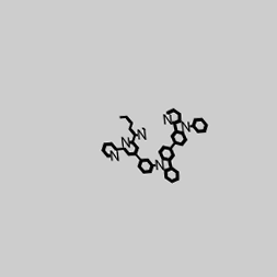 C=N/C(=C\C=C/C)c1cc(-c2cccc(-n3c4ccccc4c4cc(-c5ccc6c(c5)c5ncccc5n6-c5ccccc5)ccc43)c2)cc(-c2ccccn2)n1